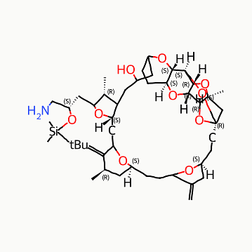 C=C1C[C@@H]2CC[C@@]34C[C@]5(C)O[C@H]6[C@@H](O3)[C@H]3OC(CC[C@@H]3O[C@H]6[C@H]5O4)CC(O)CC3[C@@H](C)C(C[C@@H](CN)O[Si](C)(C)C(C)(C)C)O[C@H]3CC3O[C@@H](CCC1O2)C[C@@H](C)C3=C